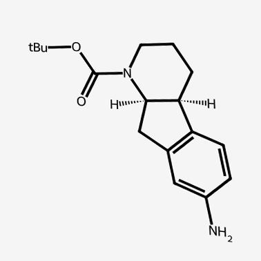 CC(C)(C)OC(=O)N1CCC[C@H]2c3ccc(N)cc3C[C@H]21